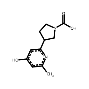 Cc1cc(O)cc(C2CCN(C(=O)O)C2)n1